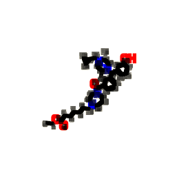 CCOC(=O)CCCCCCN1CCCN(C(=O)c2cccc([C@H](c3cccc(O)c3)N3C[C@@H](C)N(CC4CC4)C[C@@H]3C)c2)CC1